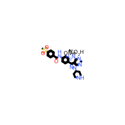 CC(=O)O.COc1cc(-c2nn(C3CCNCC3)c3ncnc(N)c23)ccc1NC(=O)c1ccc(S(C)(=O)=O)cc1